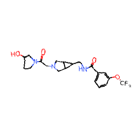 O=C(NCC1C2CN(CC(=O)N3CCC(O)C3)CC12)c1cccc(OC(F)(F)F)c1